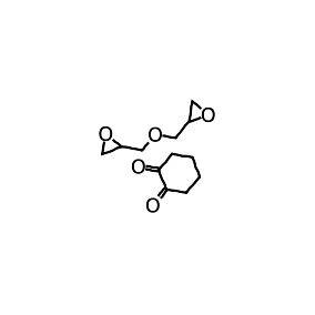 C(OCC1CO1)C1CO1.O=C1CCCCC1=O